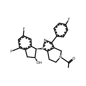 CC(=O)N1CCc2c(c(-c3ccc(F)cc3)nn2[C@@H]2c3cc(F)cc(F)c3C[C@@H]2O)C1